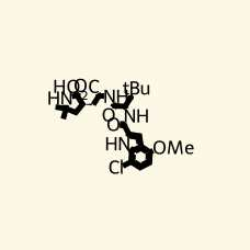 COc1ccc(Cl)c2[nH]c(C(=O)NC(CC(C)(C)C)C(=O)NC(C[C@@H]3CC(C)(C)NC3=O)C(=O)O)cc12